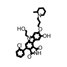 CC1CCCCN1CCCOc1cc2c(cc1O)c1c3c(c(-c4ccccc4Cl)cc1n2CCO)C(=O)NC3=O